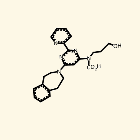 O=C(O)N(CCCO)c1cc(N2CCc3ccccc3CC2)nc(-c2ccccn2)n1